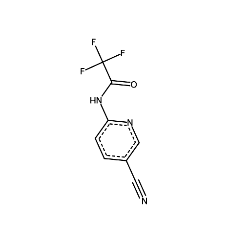 N#Cc1ccc(NC(=O)C(F)(F)F)nc1